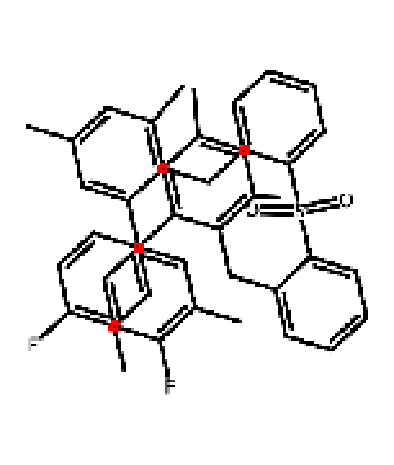 Cc1cc(C)c(Cc2ccccc2S(=O)(=O)c2ccccc2Cc2c(C)cc(C)cc2-c2ccc(F)c(C)c2)c(-c2ccc(F)c(C)c2)c1